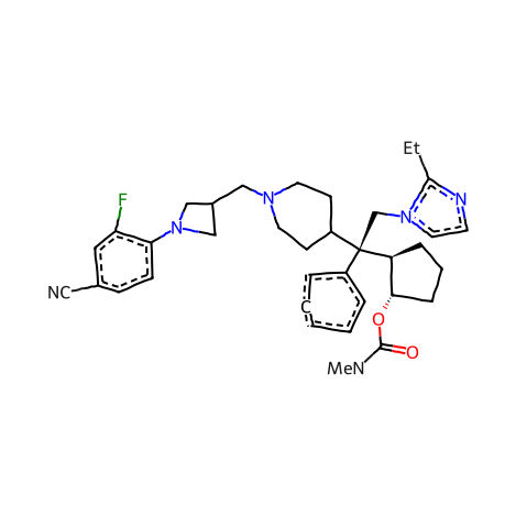 CCc1nccn1C[C@@](c1ccccc1)(C1CCN(CC2CN(c3ccc(C#N)cc3F)C2)CC1)[C@H]1CCC[C@@H]1OC(=O)NC